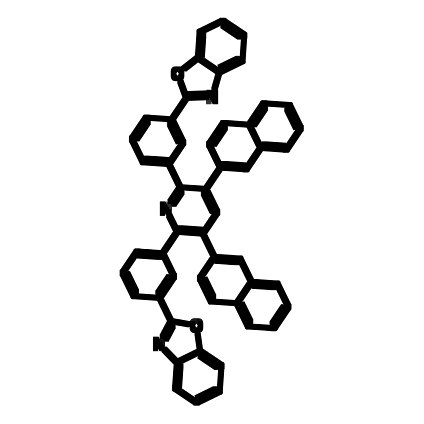 c1cc(-c2nc3ccccc3o2)cc(-c2nc(-c3cccc(-c4nc5ccccc5o4)c3)c(-c3ccc4ccccc4c3)cc2-c2ccc3ccccc3c2)c1